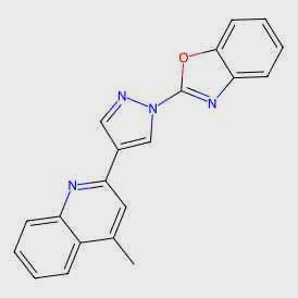 Cc1cc(-c2cnn(-c3nc4ccccc4o3)c2)nc2ccccc12